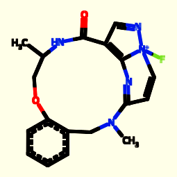 CC1COc2ccccc2CN(C)C2=NC3=C(C=N[N+]3(F)C=C2)C(=O)N1